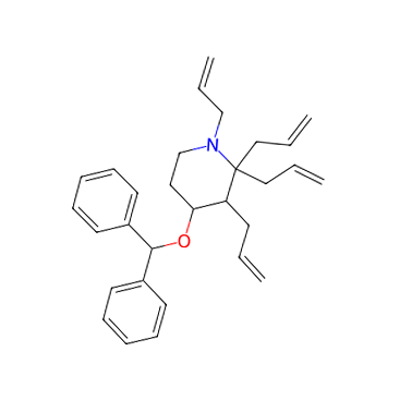 C=CCC1C(OC(c2ccccc2)c2ccccc2)CCN(CC=C)C1(CC=C)CC=C